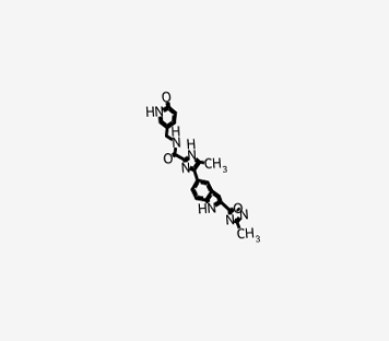 Cc1noc(-c2cc3cc(-c4nc(C(=O)NCc5ccc(=O)[nH]c5)[nH]c4C)ccc3[nH]2)n1